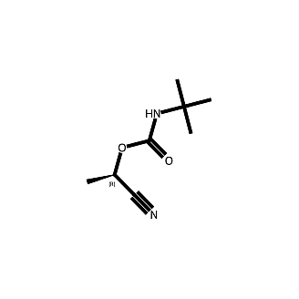 C[C@H](C#N)OC(=O)NC(C)(C)C